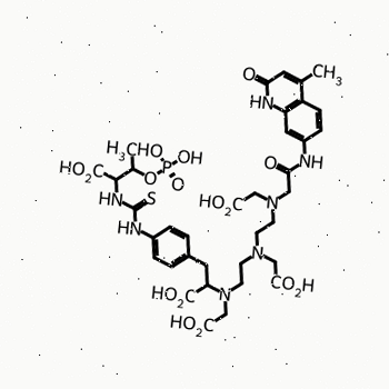 Cc1cc(=O)[nH]c2cc(NC(=O)CN(CCN(CCN(CC(=O)O)C(Cc3ccc(NC(=S)NC(C(=O)O)C(C)OP(=O)(O)O)cc3)C(=O)O)CC(=O)O)CC(=O)O)ccc12